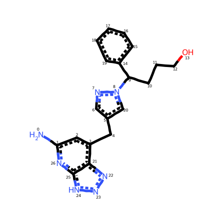 Nc1cc(Cc2cnn(C(CCCO)c3ccccc3)c2)c2nn[nH]c2n1